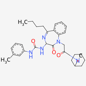 CCCCC1=NC(NC(=O)Nc2cccc(C)c2)C(=O)N(CC(=O)N2CC3CCC(CC3)C2)c2ccccc21